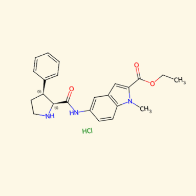 CCOC(=O)c1cc2cc(NC(=O)[C@H]3NCC[C@H]3c3ccccc3)ccc2n1C.Cl